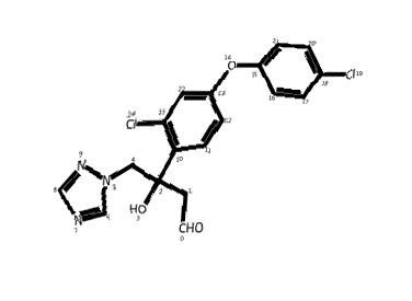 O=CCC(O)(Cn1cncn1)c1ccc(Oc2ccc(Cl)cc2)cc1Cl